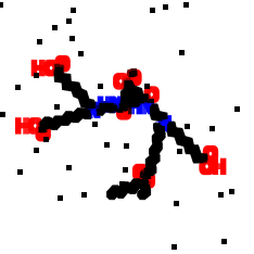 CCCCCCC(CC)OC(=O)CCCCCCCCN(CCCCCCCCC(=O)O)CCCNC(=O)c1cc(C(=O)NCCCN(CCCCCCCCC(=O)O)CCCCCCCCC(=O)O)cc(C(=O)OC)c1